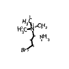 C[N+](C)(C)CCCBr.N